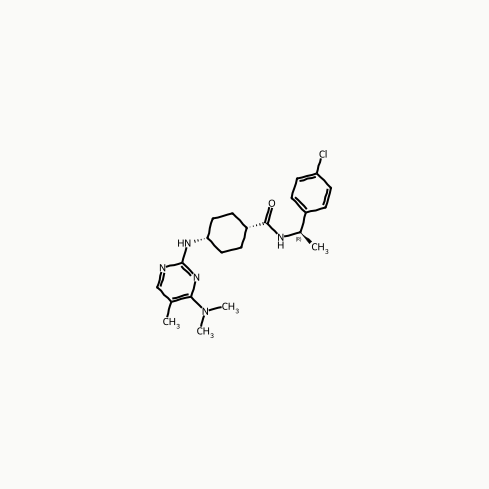 Cc1cnc(N[C@H]2CC[C@@H](C(=O)N[C@H](C)c3ccc(Cl)cc3)CC2)nc1N(C)C